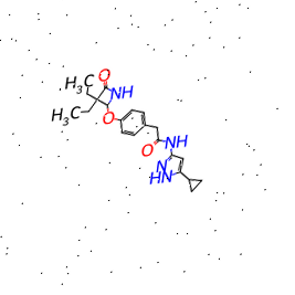 CCC1(CC)C(=O)NC1Oc1ccc(CC(=O)Nc2cc(C3CC3)[nH]n2)cc1